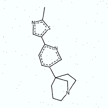 Cc1ncc(-c2ccc(C34CCCN(CC3)C4)cn2)s1